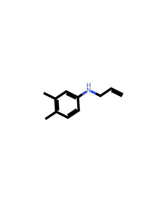 C=CCNc1ccc(C)c(C)c1